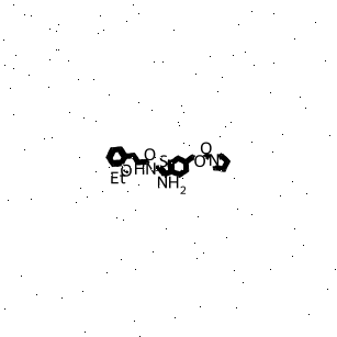 CCOc1ccccc1CCC(=O)Nc1sc2c(c1N)CCC(COC(=O)N1CCCC1)C2